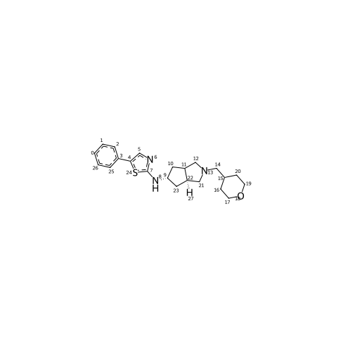 c1ccc(-c2cnc(N[C@@H]3CC4CN(CC5CCOCC5)C[C@H]4C3)s2)cc1